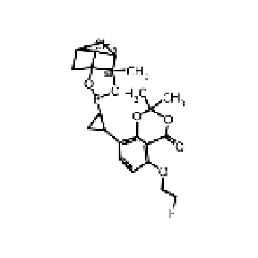 CC1(C)OC(=O)c2c(OCCF)ccc(C3CC3B3OC45CC6CC(C64C)[C@]5(C)O3)c2O1